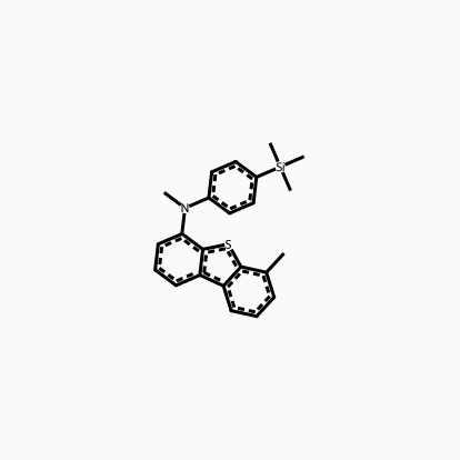 Cc1cccc2c1sc1c(N(C)c3ccc([Si](C)(C)C)cc3)cccc12